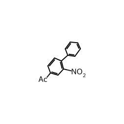 CC(=O)c1ccc(-c2ccccc2)c([N+](=O)[O-])c1